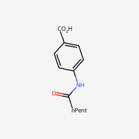 CCCCCC(=O)Nc1ccc(C(=O)O)cc1